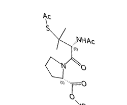 CC(=O)N[C@H](C(=O)N1CCC[C@H]1C(=O)OC(C)(C)C)C(C)(C)SC(C)=O